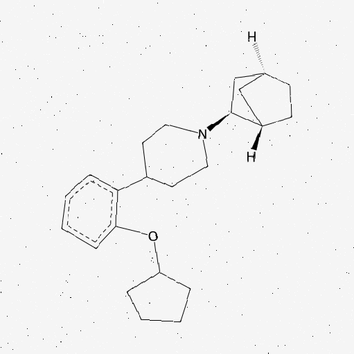 c1ccc(C2CCN([C@H]3C[C@H]4CC[C@H]3C4)CC2)c(OC2CCCC2)c1